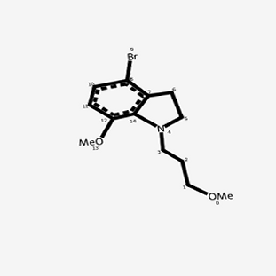 COCCCN1CCc2c(Br)ccc(OC)c21